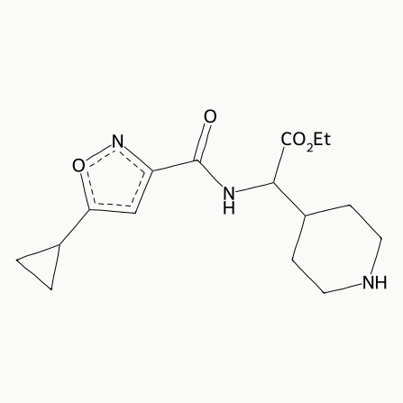 CCOC(=O)C(NC(=O)c1cc(C2CC2)on1)C1CCNCC1